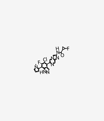 Cn1cccc1-c1c(F)c(Cl)c(-c2cn3cc(NC(=O)C4CC4F)nc3cn2)c2cn[nH]c12